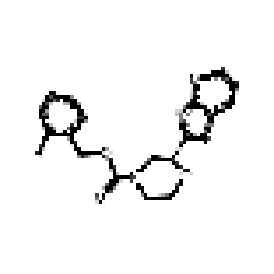 Cc1ccccc1COC(=O)N1CCO[C@H](c2nc3cccnc3[nH]2)C1